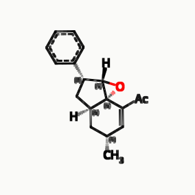 CC(=O)C1=C[C@H](C)C[C@H]2C[C@H](c3ccccc3)[C@@H]3O[C@]123